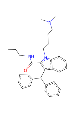 CCCNC(=O)c1c(C(c2ccccc2)c2ccccc2)c2ccccc2n1CCCCN(C)C